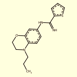 CCCN1CCOc2cc(NC(=N)c3cccs3)ccc21